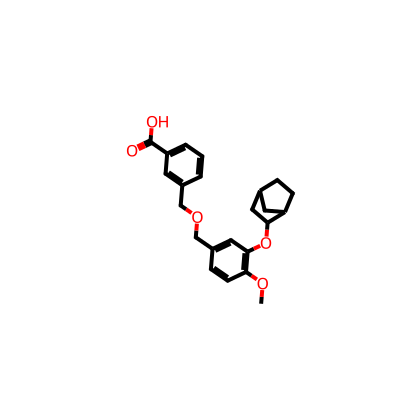 COc1ccc(COCc2cccc(C(=O)O)c2)cc1OC1CC2CCC1C2